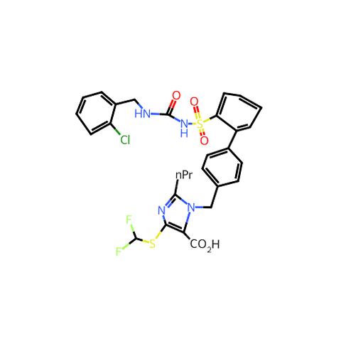 CCCc1nc(SC(F)F)c(C(=O)O)n1Cc1ccc(-c2ccccc2S(=O)(=O)NC(=O)NCc2ccccc2Cl)cc1